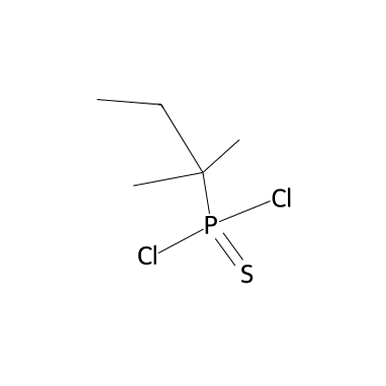 CCC(C)(C)P(=S)(Cl)Cl